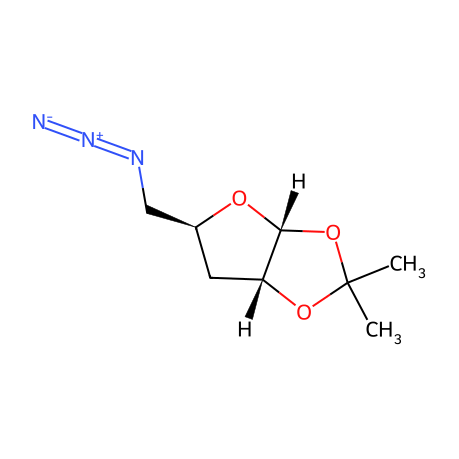 CC1(C)O[C@H]2O[C@H](CN=[N+]=[N-])C[C@H]2O1